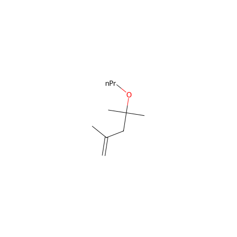 C=C(C)CC(C)(C)OCCC